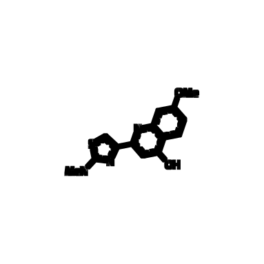 CNc1nc(-c2cc(O)c3ccc(OC)cc3n2)cs1